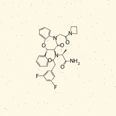 C[C@@H](C(N)=O)N(C(=O)Cc1cc(F)cc(F)c1)[C@@H]1C(=O)N(CC(=O)N2CCC2)c2ccccc2O[C@@H]1c1ccccc1